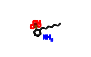 CCCCCCCc1ccccc1S(=O)(=O)O.N